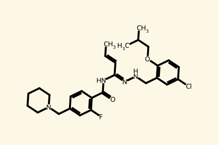 C/C=C/C(=N\NCc1cc(Cl)ccc1OCC(C)C)NC(=O)c1ccc(CN2CCCCC2)cc1F